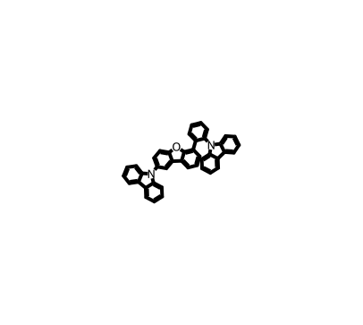 c1ccc(-n2c3ccccc3c3ccccc32)c(-c2cccc3c2oc2ccc(-n4c5ccccc5c5ccccc54)cc23)c1